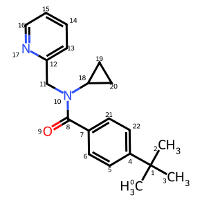 CC(C)(C)c1ccc(C(=O)N(Cc2ccccn2)C2CC2)cc1